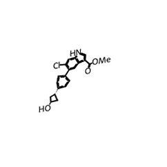 COC(=O)c1c[nH]c2cc(Cl)c(-c3ccc([C@H]4C[C@H](O)C4)cc3)cc12